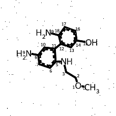 COCCNc1ccc(N)cc1-c1cc(O)ccc1N